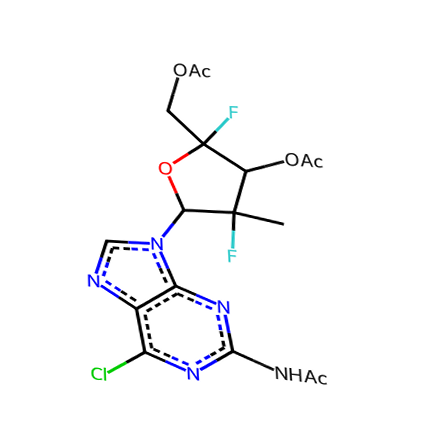 CC(=O)Nc1nc(Cl)c2ncn(C3OC(F)(COC(C)=O)C(OC(C)=O)C3(C)F)c2n1